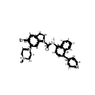 CN1CCN(c2cc3c(cc2Br)CCN3C(=O)Nc2ccc(-c3ccncc3)c3ccccc23)CC1